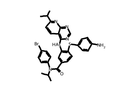 CC(C)c1ccc2c([AsH]c3cc(C(=O)N(c4ccc(Br)cc4)C(C)C)ccc3Sc3ccc(N)cc3)ncnc2n1